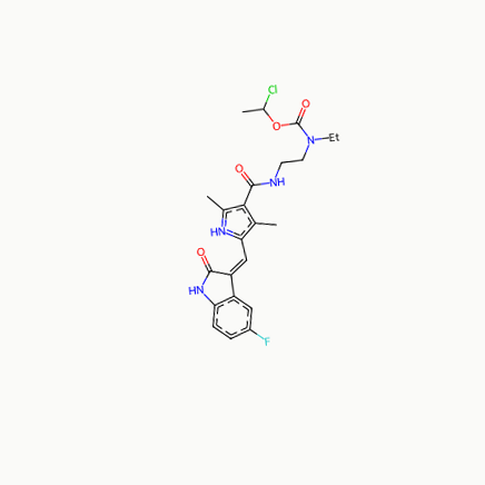 CCN(CCNC(=O)c1c(C)[nH]c(C=C2C(=O)Nc3ccc(F)cc32)c1C)C(=O)OC(C)Cl